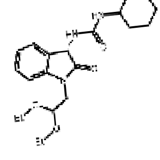 CCOC(CN1C(=O)[C@@H](NC(=O)NC2CCCCC2)c2ccccc21)OCC